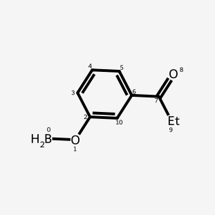 BOc1cccc(C(=O)CC)c1